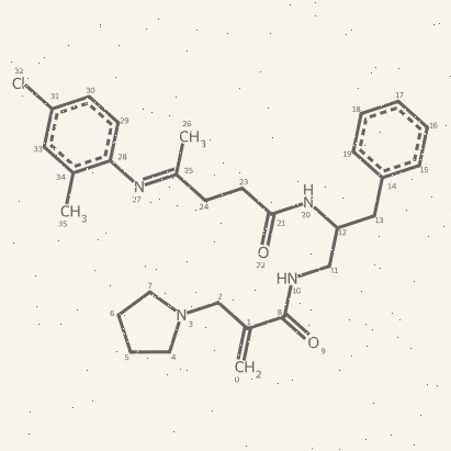 C=C(CN1CCCC1)C(=O)NCC(Cc1ccccc1)NC(=O)CC/C(C)=N/c1ccc(Cl)cc1C